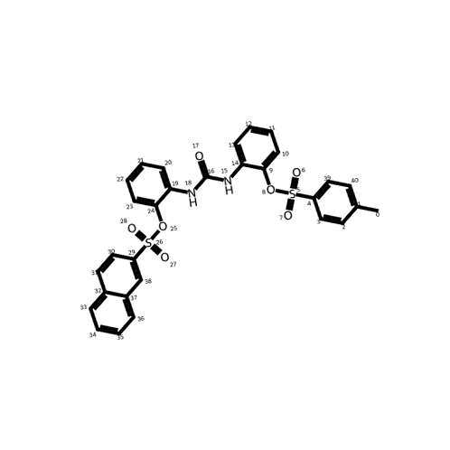 Cc1ccc(S(=O)(=O)Oc2ccccc2NC(=O)Nc2ccccc2OS(=O)(=O)c2ccc3ccccc3c2)cc1